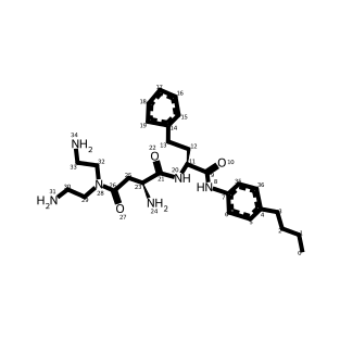 CCCCc1ccc(NC(=O)[C@H](CCc2ccccc2)NC(=O)[C@@H](N)CC(=O)N(CCN)CCN)cc1